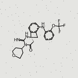 N=C1N[C@]2(CC(=O)N1C1CCOCC1)Cc1c(Nc3ccccc3OC(F)(F)F)cccc12